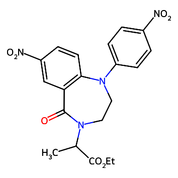 CCOC(=O)C(C)N1CCN(c2ccc([N+](=O)[O-])cc2)c2ccc([N+](=O)[O-])cc2C1=O